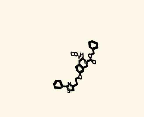 O=C(O)C1Cc2ccc(OCCc3csc(-c4ccccc4)n3)cc2CN1C(=O)OCc1ccccc1